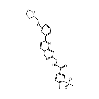 Cc1ccc(C(=O)NCc2cc3nc(-c4cccc(OCC5CCCO5)n4)ccc3cn2)cc1S(C)(=O)=O